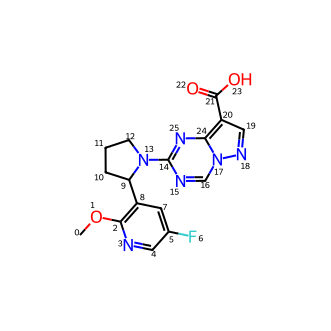 COc1ncc(F)cc1C1CCCN1c1ncn2ncc(C(=O)O)c2n1